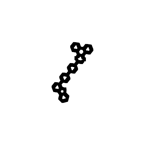 c1ccc2c(c1)sc1c(-c3ccc(-c4ccc(-c5cnc6c7ccccc7c7ccccc7c6n5)cc4)cc3)cccc12